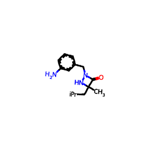 CC(C)CC1(C)NN(Cc2cccc(N)c2)C1=O